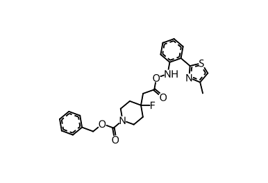 Cc1csc(-c2ccccc2NOC(=O)CC2(F)CCN(C(=O)OCc3ccccc3)CC2)n1